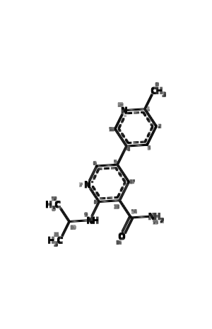 Cc1ccc(-c2cnc(NC(C)C)c(C(N)=O)c2)cn1